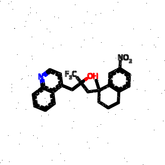 CC1(CC(O)(Cc2ccnc3ccccc23)C(F)(F)F)CCCc2ccc([N+](=O)[O-])cc21